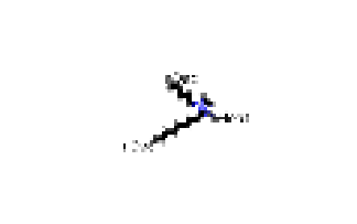 CCCCCCCCCCCCCCCCCCC1N(CCCCCCC)C=CN1CCCCCCCCCCCCCCC